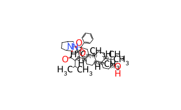 CC(C)C1=C2[C@H]3CC[C@@H]4[C@@]5(C)CC[C@H](O)C(C)(C)[C@@H]5CC[C@@]4(C)[C@]3(C)CC[C@@]2(C(=O)N2C3CCC2CN(C(=O)c2ccccc2)C3)CC1=O